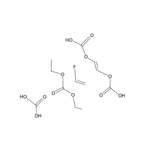 C=CF.CCOC(=O)OCC.O=C(O)O.O=C(O)O/C=C/OC(=O)O